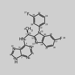 C[C@H](Nc1ncnc2[nH]cnc12)c1nc2ccc(F)cc2n1-c1cccc(F)c1